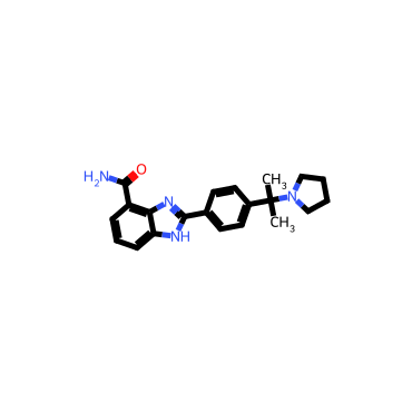 CC(C)(c1ccc(-c2nc3c(C(N)=O)cccc3[nH]2)cc1)N1CCCC1